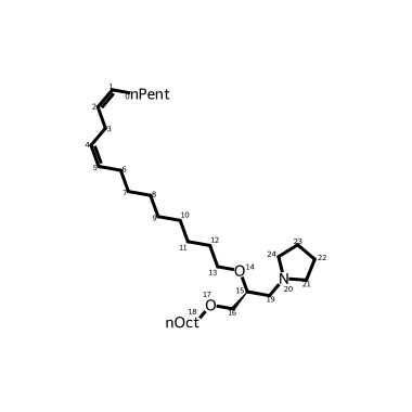 CCCCC/C=C\C/C=C\CCCCCCCCO[C@H](COCCCCCCCC)CN1CCCC1